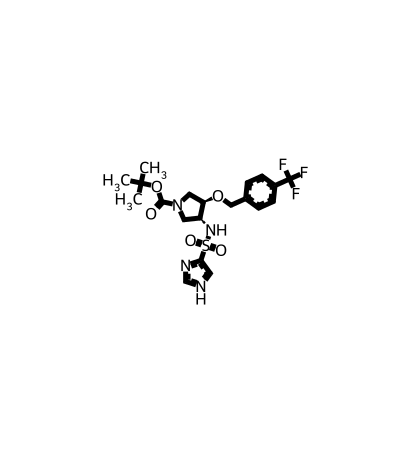 CC(C)(C)OC(=O)N1C[C@@H](NS(=O)(=O)c2c[nH]cn2)[C@H](OCc2ccc(C(F)(F)F)cc2)C1